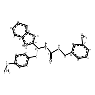 COc1ccc(C[C@@H](NC(=O)NCc2cccc(C)c2)c2nc3ccccc3[nH]2)cc1